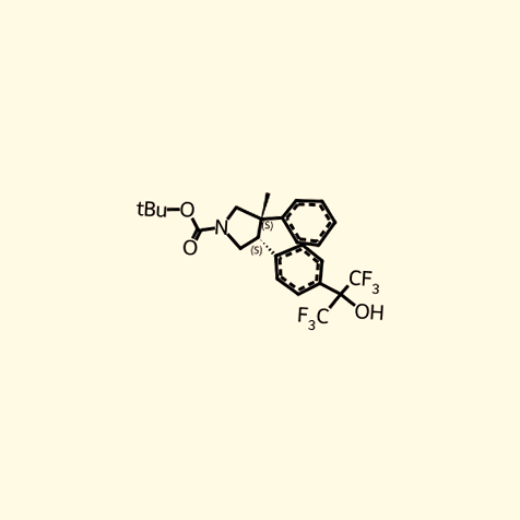 CC(C)(C)OC(=O)N1C[C@@H](c2ccc(C(O)(C(F)(F)F)C(F)(F)F)cc2)[C@@](C)(c2ccccc2)C1